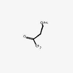 CC(=O)OCC(=O)C(F)(F)F